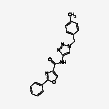 Cc1ccc(Cn2cc(NC(=O)c3coc(-c4ccccc4)n3)nn2)cc1